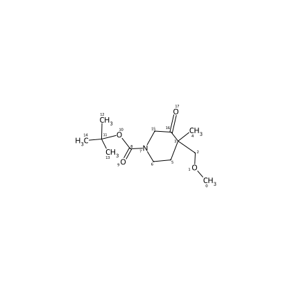 COCC1(C)CCN(C(=O)OC(C)(C)C)CC1=O